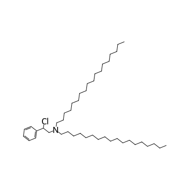 CCCCCCCCCCCCCCCCCCN(CCCCCCCCCCCCCCCCCC)CC(Cl)c1ccccc1